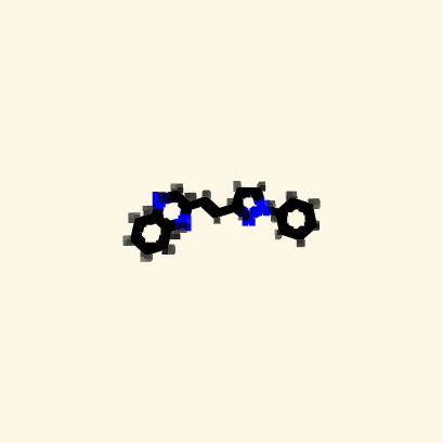 C(=Cc1ccn(-c2ccccc2)n1)c1cnc2ccccc2n1